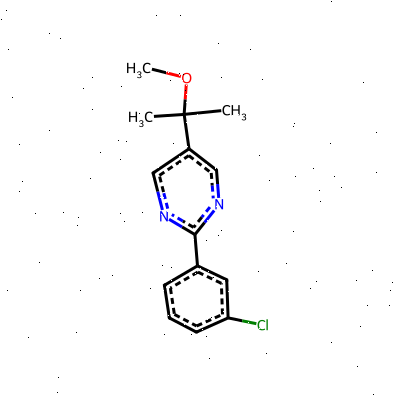 COC(C)(C)c1cnc(-c2cccc(Cl)c2)nc1